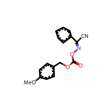 COc1ccc(COC(=O)ON=C(C#N)c2ccccc2)cc1